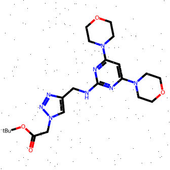 CC(C)(C)OC(=O)Cn1cc(CNc2nc(N3CCOCC3)cc(N3CCOCC3)n2)nn1